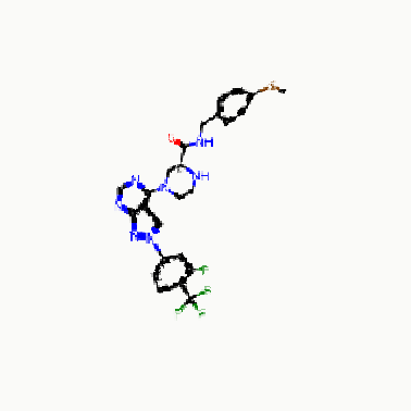 CSc1ccc(CNC(=O)[C@@H]2CN(c3ncnc4nn(-c5ccc(C(F)(F)F)c(F)c5)cc34)CCN2)cc1